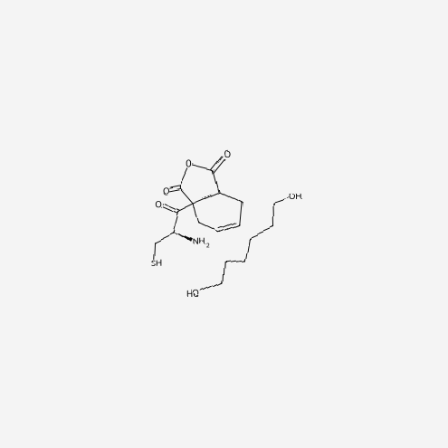 N[C@@H](CS)C(=O)C12CC=CCC1C(=O)OC2=O.OCCCCCCO